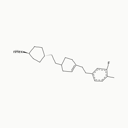 CCCCCC[C@H]1CC[C@H](CCC2CC=C(CCc3ccc(C)c(F)c3)CC2)CC1